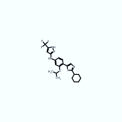 CC(C)Sc1cc(Nc2cc(C(F)(F)F)[nH]n2)ccc1-c1cnc(C2CCCCC2)s1